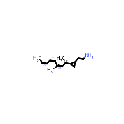 C\C=C/C=C\C(C)=C/[C@H](C)C1CC1CCN